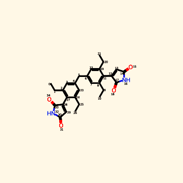 CCc1cc(Cc2cc(CC)c(C3=CC(=O)NC3=O)c(CC)c2)cc(CC)c1C1=CC(=O)NC1=O